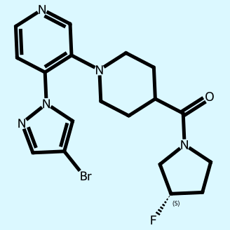 O=C(C1CCN(c2cnccc2-n2cc(Br)cn2)CC1)N1CC[C@H](F)C1